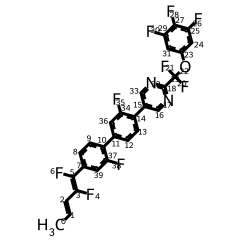 C/C=C/C(F)=C(\F)c1ccc(-c2ccc(-c3cnc(C(F)(F)Oc4cc(F)c(F)c(F)c4)nc3)c(F)c2)c(F)c1